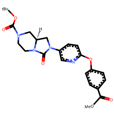 COC(=O)c1ccc(Oc2ccc(N3C[C@@H]4CN(C(=O)OC(C)(C)C)CCN4C3=O)cn2)cc1